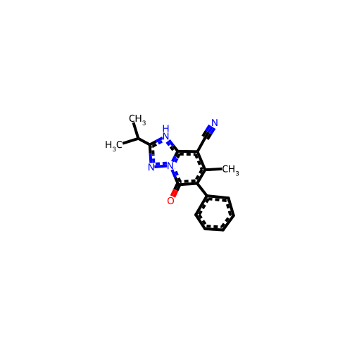 Cc1c(-c2ccccc2)c(=O)n2nc(C(C)C)[nH]c2c1C#N